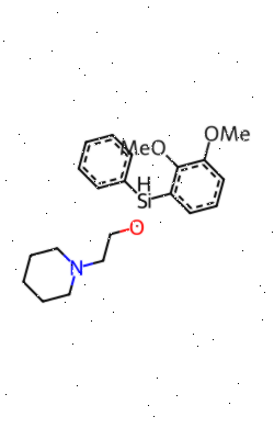 COc1cccc([SiH](OCCN2CCCCC2)c2ccccc2)c1OC